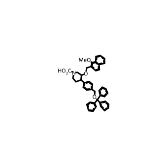 COc1c(COC2CN(C(=O)O)CCC2c2ccc(COC(c3ccccc3)(c3ccccc3)c3ccccc3)cc2)ccc2ccccc12